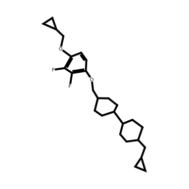 Fc1c(OCC2CC2)ccc(OCC2CCC(C3CCC(CC4CC4)CC3)CC2)c1F